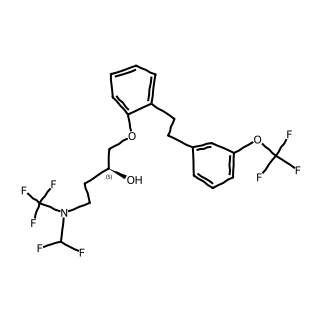 O[C@@H](CCN(C(F)F)C(F)(F)F)COc1ccccc1CCc1cccc(OC(F)(F)F)c1